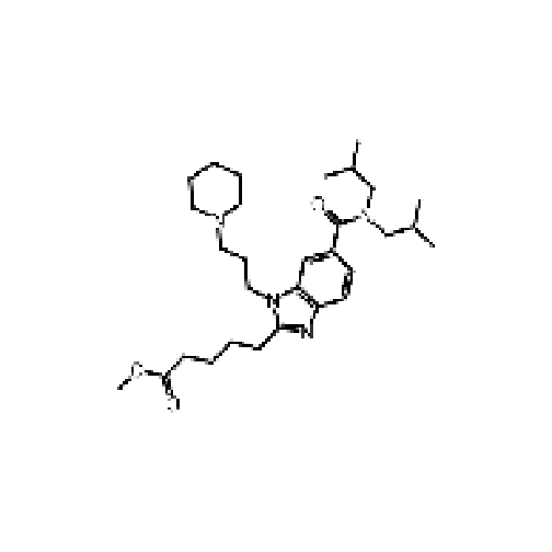 COC(=O)CCCCc1nc2ccc(C(=O)N(CC(C)C)CC(C)C)cc2n1CCCN1CCCCC1